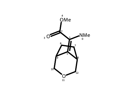 CNC(C(=O)OC)=C1C2CCC1COC2